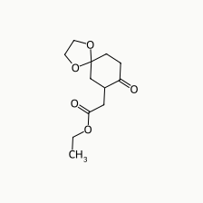 CCOC(=O)CC1CC2(CCC1=O)OCCO2